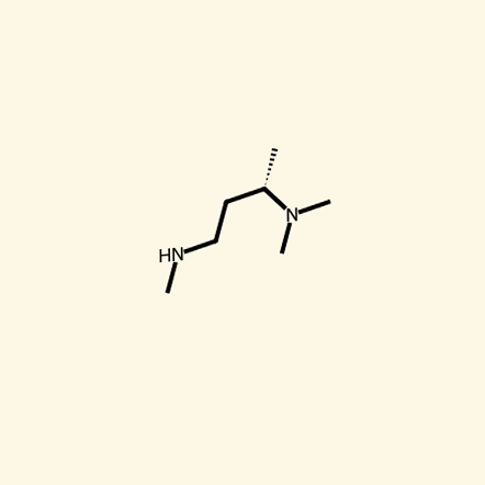 CNCC[C@H](C)N(C)C